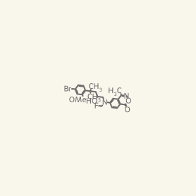 COc1cc(Br)ccc1C(C)(C)CC(O)CN(CF)c1ccc2c(=O)onc(C)c2c1